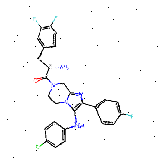 N[C@@H](Cc1ccc(F)c(F)c1)C(=O)N1CCn2c(nc(-c3ccc(F)cc3)c2Nc2ccc(Cl)cc2)C1